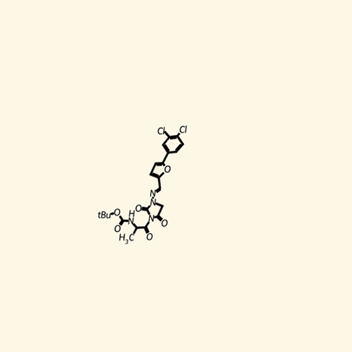 CC(NC(=O)OC(C)(C)C)C(=O)N1C(=O)CN(/N=C/c2ccc(-c3ccc(Cl)c(Cl)c3)o2)C1=O